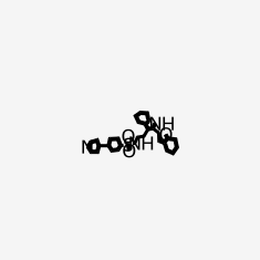 O=S(=O)(NCCc1c(-c2cc3ccccc3o2)[nH]c2ccccc12)c1ccc(-c2ccncc2)cc1